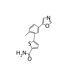 Cc1ccc(-c2cnco2)cc1-c1ccc(C(N)=O)s1